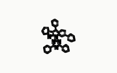 c1ccc(-c2ccc3c(-c4ccccc4)c4c5ccccc5nc-4n(-c4nc(-c5ccccc5)nc(-c5ccccc5)n4)c3c2)cc1